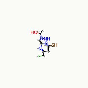 CC(O)N1C=C2N=C(CF)C=C(S)N2N1